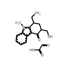 CCC1CC(CO)C(=O)c2c1n(C)c1ccccc21.O=CC(=O)O